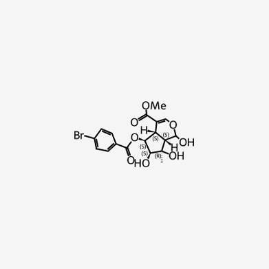 COC(=O)C1=COC(O)[C@H]2[C@@H]1[C@H](OC(=O)c1ccc(Br)cc1)[C@H](O)[C@]2(C)O